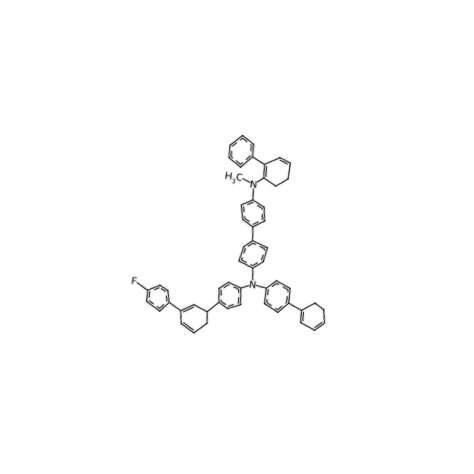 CN(C1=C(c2ccccc2)C=CCC1)c1ccc(-c2ccc(N(c3ccc(C4=CC=CCC4)cc3)c3ccc(C4C=C(c5ccc(F)cc5)C=CC4)cc3)cc2)cc1